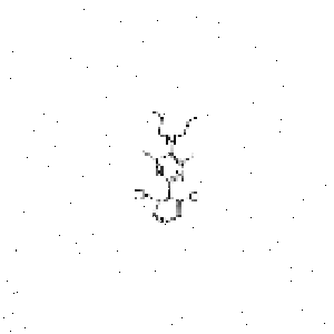 CCCN(CCC)c1c(C)nc(-c2c(Cl)cccc2Cl)nc1C